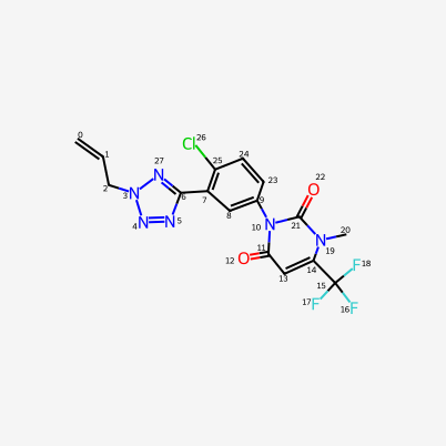 C=CCn1nnc(-c2cc(-n3c(=O)cc(C(F)(F)F)n(C)c3=O)ccc2Cl)n1